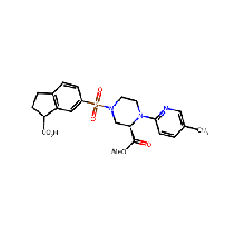 COC(=O)[C@H]1CN(S(=O)(=O)c2ccc3c(c2)C(C(=O)O)CC3)CCN1c1ccc(C)cn1